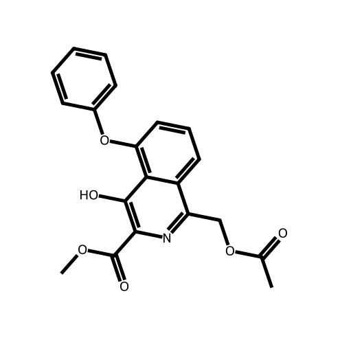 COC(=O)c1nc(COC(C)=O)c2cccc(Oc3ccccc3)c2c1O